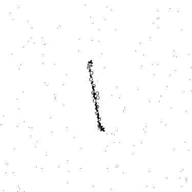 CC(C)(C)[Si](C)(C)OCCOCCOCCOCCOC(=O)CC(=O)OCCOCCOCCOCCO[Si](C)(C)C(C)(C)C